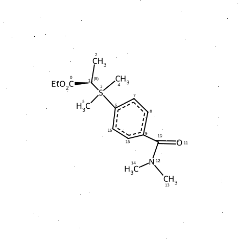 CCOC(=O)[C@@H](C)S(C)(C)c1ccc(C(=O)N(C)C)cc1